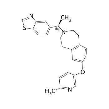 Cc1ccc(Oc2ccc3c(c2)CCN([C@H](C)c2ccc4scnc4c2)CC3)cn1